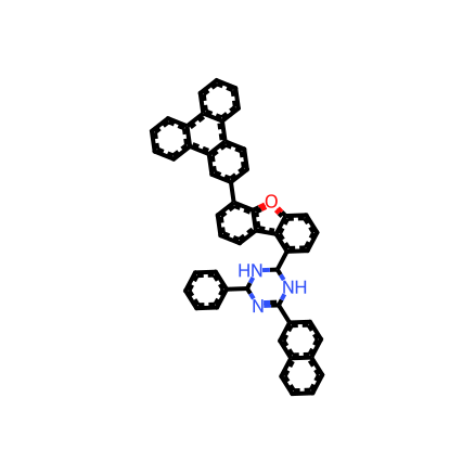 c1ccc(C2N=C(c3ccc4ccccc4c3)NC(c3cccc4oc5c(-c6ccc7c8ccccc8c8ccccc8c7c6)cccc5c34)N2)cc1